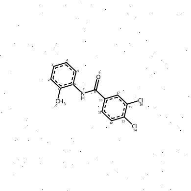 Cc1ccccc1NC(=O)c1ccc(Cl)c(Cl)c1